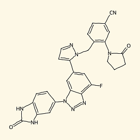 N#Cc1ccc(Cn2nccc2-c2cc(F)c3nnn(-c4ccc5[nH]c(=O)[nH]c5c4)c3c2)c(N2CCCC2=O)c1